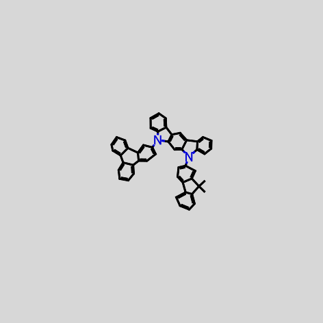 CC1(C)c2ccccc2-c2ccc(-n3c4ccccc4c4cc5c6ccccc6n(-c6ccc7c8ccccc8c8ccccc8c7c6)c5cc43)cc21